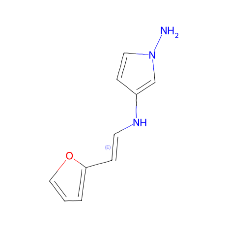 Nn1ccc(N/C=C/c2ccco2)c1